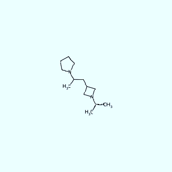 CC(C)N1CC(CC(C)N2CCCC2)C1